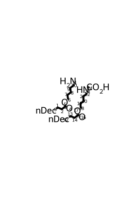 CCCCCCCCCCCCC(=O)OCCCCCN.CCCCCCCCCCCCC(=O)OCCCCCNC(=O)O